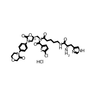 Cl.N[C@@H](Cc1c[nH]cn1)C(=O)NCCCCC(=O)N(C[C@H]1CN(c2ccc(N3CCOCC3=O)cc2)C(=O)O1)C(=O)c1ccc(Cl)s1